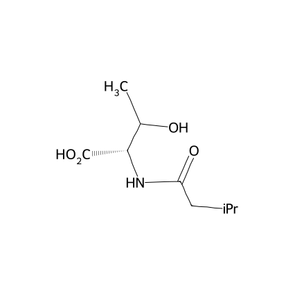 CC(C)CC(=O)N[C@H](C(=O)O)C(C)O